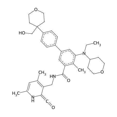 CCN(c1cc(-c2ccc(C3(CO)CCOCC3)cc2)cc(C(=O)NCC2=C(C)C=C(C)NC2=C=O)c1C)C1CCOCC1